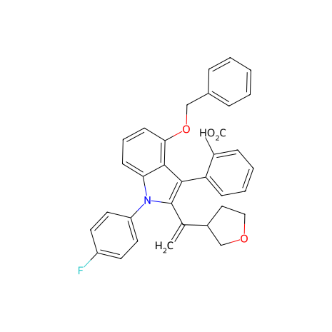 C=C(c1c(-c2ccccc2C(=O)O)c2c(OCc3ccccc3)cccc2n1-c1ccc(F)cc1)C1CCOC1